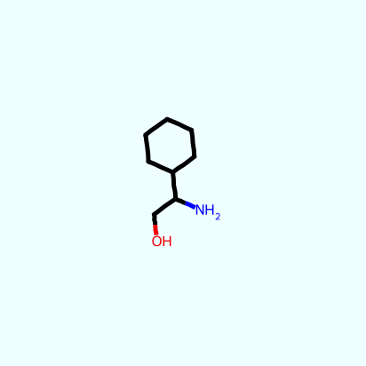 NC(CO)C1CCCCC1